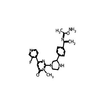 C=C(/N=C(/C)ON)c1ccc(C2CN(c3nc(-c4ccncc4F)cc(=O)n3C)CCN2)cc1